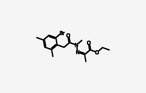 CCOC(=O)C(C)=NN(C)C(=O)Cc1c(C)cc(C)cc1Br